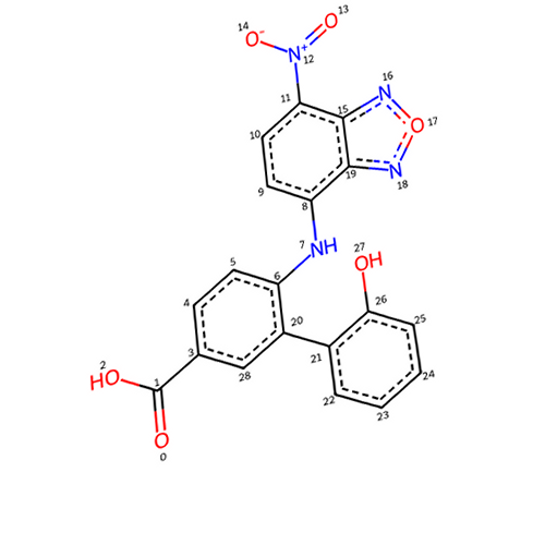 O=C(O)c1ccc(Nc2ccc([N+](=O)[O-])c3nonc23)c(-c2ccccc2O)c1